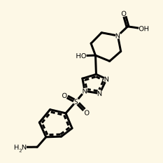 NCc1ccc(S(=O)(=O)n2cc(C3(O)CCN(C(=O)O)CC3)nn2)cc1